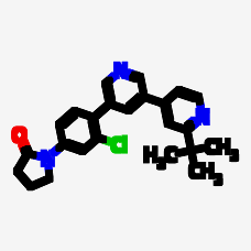 CC(C)(C)c1cc(-c2cncc(-c3ccc(N4CCCC4=O)cc3Cl)c2)ccn1